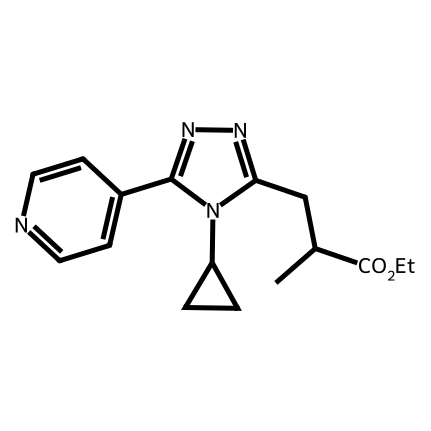 CCOC(=O)C(C)Cc1nnc(-c2ccncc2)n1C1CC1